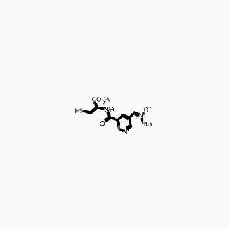 CC(C)(C)/[N+]([O-])=C\c1cnnc(C(=O)NC(CS)C(=O)O)c1